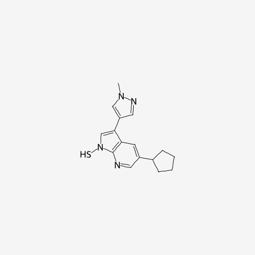 Cn1cc(-c2cn(S)c3ncc(C4CCCC4)cc23)cn1